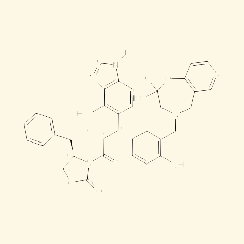 CCn1nnc2c(C)c([C@H](C3C=CC(C)=C(CN4Cc5cnccc5OC(C)(C)C4)C3)[C@@H](C)C(=O)N3C(=O)OC[C@H]3Cc3ccccc3)ccc21